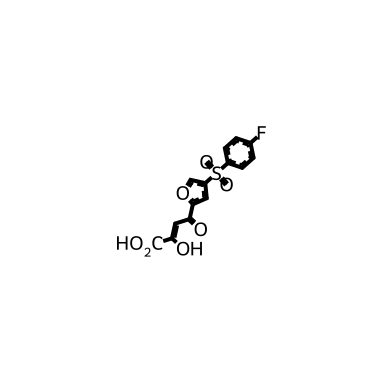 O=C(O)/C(O)=C/C(=O)c1cc(S(=O)(=O)c2ccc(F)cc2)co1